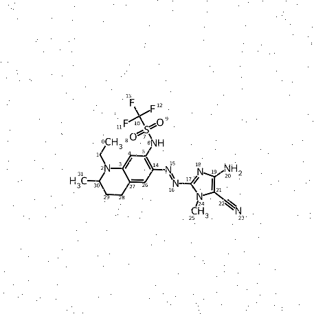 CCN1c2cc(NS(=O)(=O)C(F)(F)F)c(N=Nc3nc(N)c(C#N)n3C)cc2CCC1C